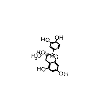 O.Oc1cc(O)c2c(c1)O[C@H](c1ccc(O)c(O)c1)[C@@H](O)C2